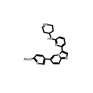 COc1ccc(-c2ccc3ncc(-c4cccc(NC5CCNCC5)n4)n3c2)cn1